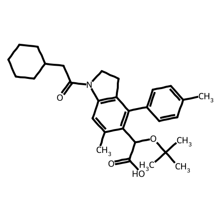 Cc1ccc(-c2c3c(cc(C)c2C(OC(C)(C)C)C(=O)O)N(C(=O)CC2CCCCC2)CC3)cc1